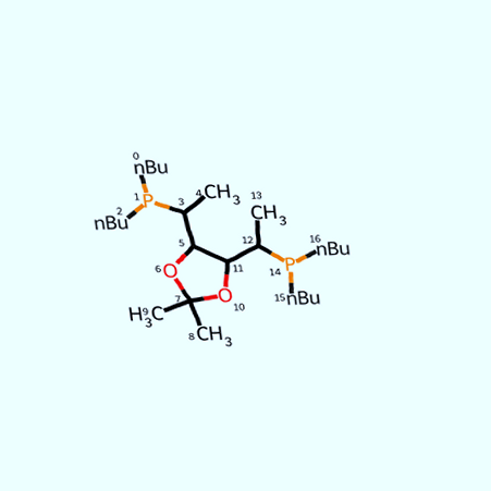 CCCCP(CCCC)C(C)C1OC(C)(C)OC1C(C)P(CCCC)CCCC